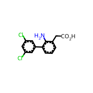 Nc1c(CC(=O)O)cccc1-c1cc(Cl)cc(Cl)c1